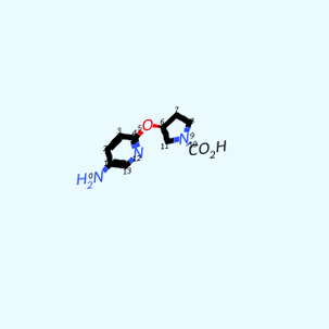 Nc1ccc(O[C@H]2CCN(C(=O)O)C2)nc1